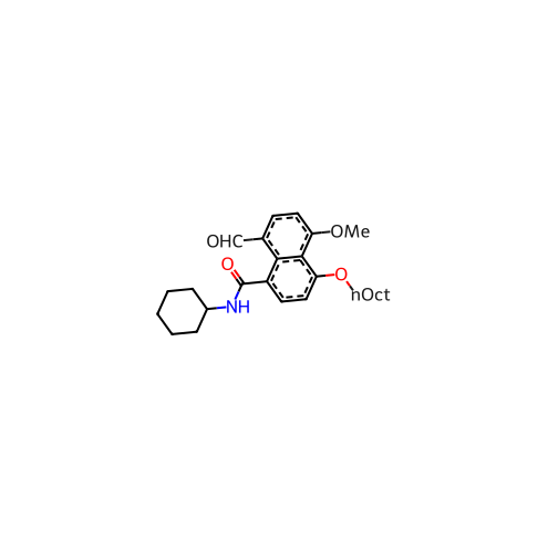 CCCCCCCCOc1ccc(C(=O)NC2CCCCC2)c2c(C=O)ccc(OC)c12